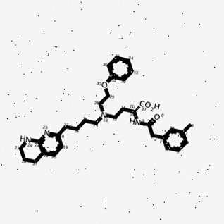 Cc1cccc(CC(=O)N[C@@H](CCN(CCCCc2ccc3c(n2)NCCC3)CCOc2ccccc2)C(=O)O)c1